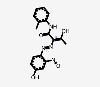 C/C(O)=C(\N=N\c1ccc(O)cc1N=O)C(=O)Nc1ccccc1C